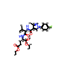 CCOC(=O)CC[C@@H](NC(=O)[C@@H](NC(=O)c1cn(-c2ccc(F)cc2)nc1C)C(C)C)C(=O)OCC